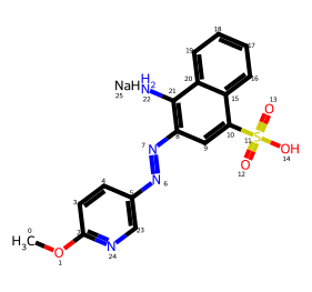 COc1ccc(/N=N/c2cc(S(=O)(=O)O)c3ccccc3c2N)cn1.[NaH]